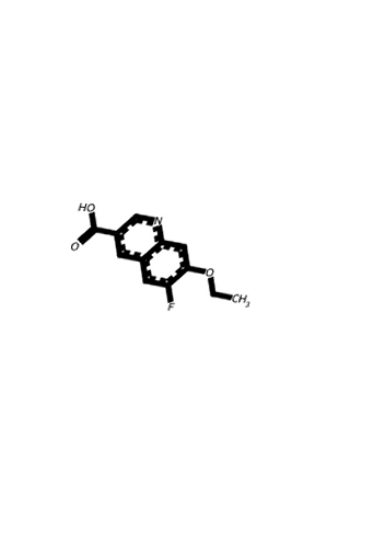 CCOc1cc2ncc(C(=O)O)cc2cc1F